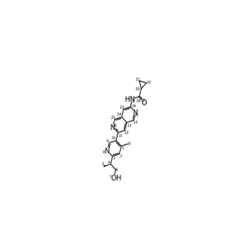 Cc1cc([C@H](C)CO)ncc1-c1cc2cnc(NC(=O)C3CC3)cc2cn1